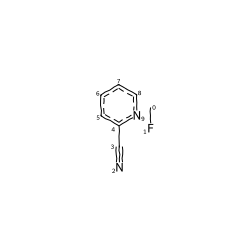 CF.N#Cc1ccccn1